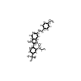 CC[S+]([O-])c1cc(C(F)(F)F)cnc1-c1nc2cc(SCc3ccc(OC)cc3)ncc2n1C